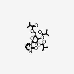 CC(C)C(=O)OC[C@H]1O[C@@H](n2cccnc2=O)[C@@H](OC(=O)C(C)C)C1OC(=O)C(C)C